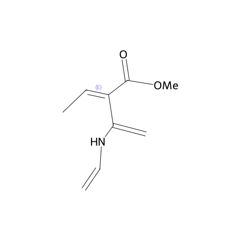 C=CNC(=C)/C(=C\C)C(=O)OC